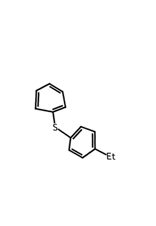 [CH2]Cc1ccc(Sc2ccccc2)cc1